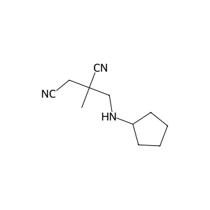 CC(C#N)(CC#N)CNC1CCCC1